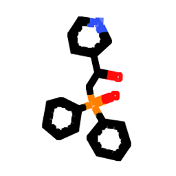 O=C(CP(=O)(c1ccccc1)c1ccccc1)c1cccnc1